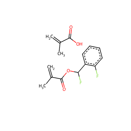 C=C(C)C(=O)O.C=C(C)C(=O)OC(F)c1ccccc1F